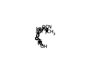 CC1(F)C[C@@H](C#N)N(C(=O)C2C[C@@H](CC(=O)N3Cc4cccc(Cn5cc(CO)nn5)c4C3)C(=O)N2)C1